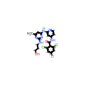 Cc1cc(Nc2cc(NC(=O)c3c(Cl)cc(Cl)cc3Cl)ccn2)nc(NCCCO)n1